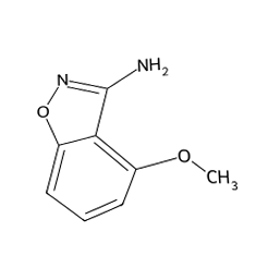 COc1cccc2onc(N)c12